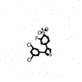 CS(=O)(=O)c1ccc(-c2cscc2-c2cc(Cl)cc(Cl)c2)cc1F